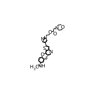 CNc1ccc(Oc2ccnc3cc(-c4cnn(CCOC(=O)CN5CCOCC5)c4)sc23)c(F)c1